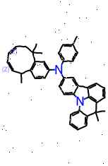 Cc1ccc(N(c2ccc3c(c2)C(C)(C)C/C=C\C=C/C3C)c2ccc3c(c2)c2cccc4c2n3-c2ccccc2C4(C)C)cc1